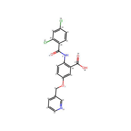 O=C(Nc1ccc(OCc2cccnc2)cc1C(=O)O)c1ccc(Cl)cc1Cl